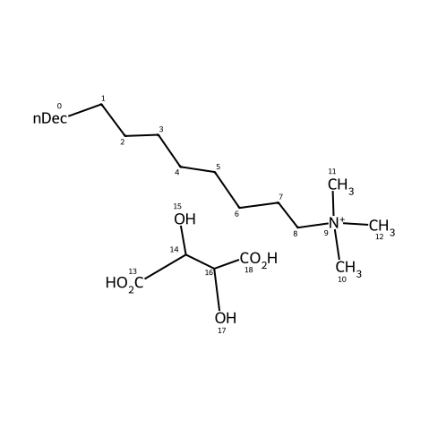 CCCCCCCCCCCCCCCCCC[N+](C)(C)C.O=C(O)C(O)C(O)C(=O)O